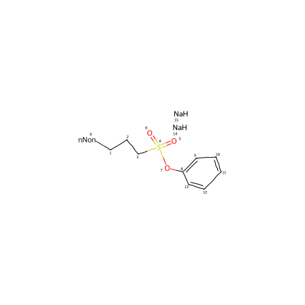 CCCCCCCCCCCCS(=O)(=O)Oc1ccccc1.[NaH].[NaH]